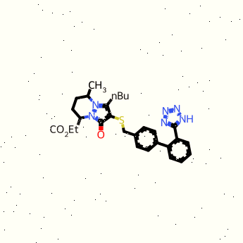 CCCCc1c(SCc2ccc(-c3ccccc3-c3nnn[nH]3)cc2)c(=O)n2n1C(C)CCC2C(=O)OCC